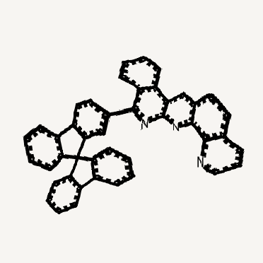 c1ccc2c(c1)-c1ccccc1C21c2ccccc2-c2ccc(-c3nc4nc5c(ccc6cccnc65)cc4c4ccccc34)cc21